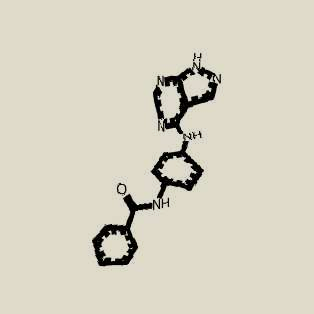 O=C(Nc1ccc(Nc2ncnc3[nH]ncc23)cc1)c1ccccc1